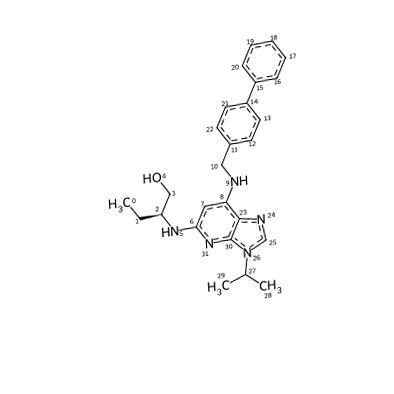 CC[C@@H](CO)Nc1cc(NCc2ccc(-c3ccccc3)cc2)c2ncn(C(C)C)c2n1